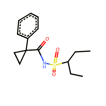 CCC(CC)S(=O)(=O)NC(=O)C1(c2ccccc2)CC1